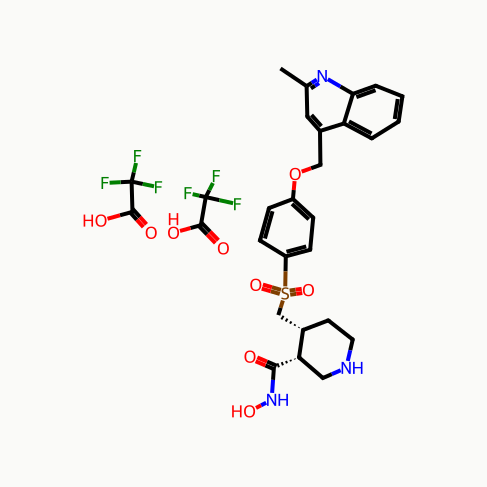 Cc1cc(COc2ccc(S(=O)(=O)C[C@@H]3CCNC[C@@H]3C(=O)NO)cc2)c2ccccc2n1.O=C(O)C(F)(F)F.O=C(O)C(F)(F)F